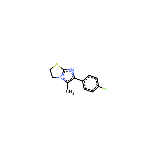 Cc1c(-c2ccc(F)cc2)nc2n1CCS2